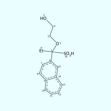 [CH2]CC(OCCO)(c1ccc2ccccc2c1)S(=O)(=O)O